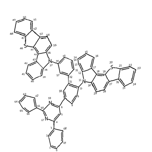 c1ccc(-c2cc(-c3ccc(-n4c5ccccc5c5c6sc7ccccc7c6ccc54)c(-c4cccc(-n5c6ccccc6c6c7sc8ccccc8c7ccc65)c4)c3)nc(-c3ccccc3)n2)cc1